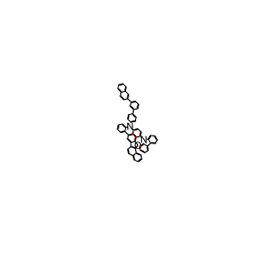 c1cc(-c2ccc(N(c3ccc(-n4c5ccccc5c5ccccc54)cc3)c3ccccc3-c3ccc4oc5c6ccccc6ccc5c4c3)cc2)cc(-c2ccc3ccccc3c2)c1